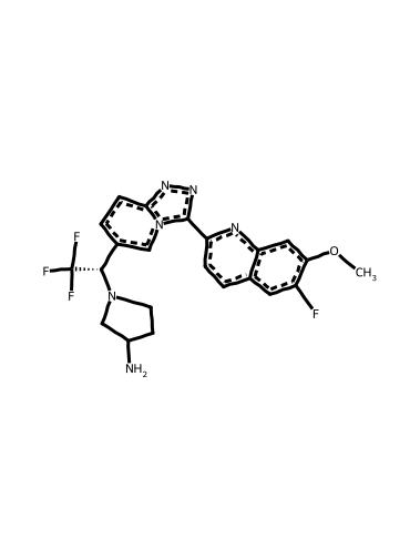 COc1cc2nc(-c3nnc4ccc([C@H](N5CCC(N)C5)C(F)(F)F)cn34)ccc2cc1F